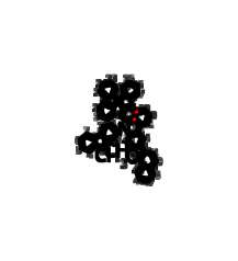 CC1(C)c2ccccc2-c2ccc(N(c3ccc4c(c3)C(c3ccccc3)(c3ccccc3)c3ccccc3-4)c3cc4oc5c6ccccc6ccc5c4cc3-c3ccccc3)cc21